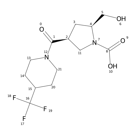 O=C([C@H]1C[C@@H](CO)N(C(=O)O)C1)N1CCC(C(F)(F)F)CC1